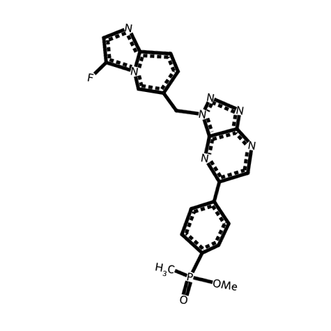 COP(C)(=O)c1ccc(-c2cnc3nnn(Cc4ccc5ncc(F)n5c4)c3n2)cc1